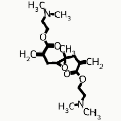 C=C(CC1OC1(C)CC(=C)C(=O)OCCN(C)C)C(=O)OCCN(C)C